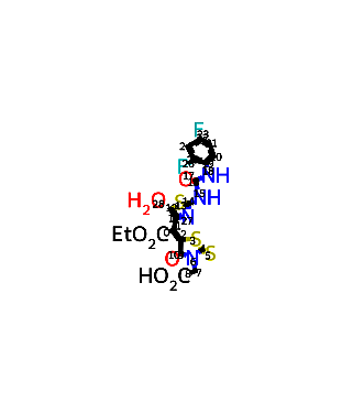 CCOC(=O)C(=C1SC(=S)N(CC(=O)O)C1=O)c1csc(NC(=O)Nc2ccc(F)cc2F)n1.O